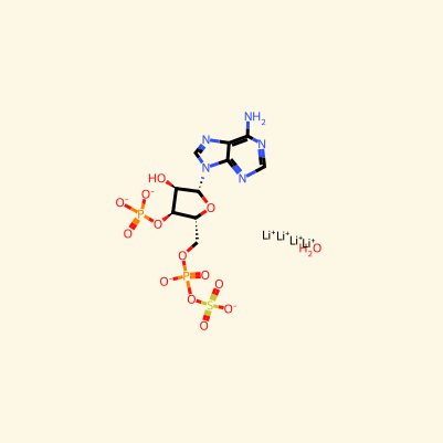 Nc1ncnc2c1ncn2[C@@H]1O[C@H](COP(=O)([O-])OS(=O)(=O)[O-])[C@@H](OP(=O)([O-])[O-])[C@H]1O.O.[Li+].[Li+].[Li+].[Li+]